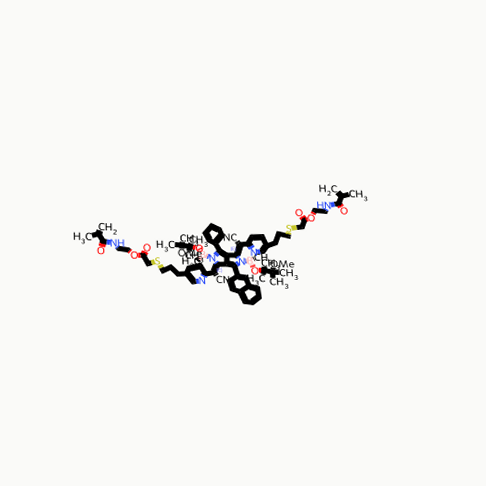 C=C(C)C(=O)NCCOC(=O)CSCCCc1ccc(/C(C#N)=c2/c3c(-c4ccc5ccccc5c4)n(B(C)OC(C)(C)C(C)(C)OC)/c(=C(/C#N)c4ccc(CCCSCC(=O)OCCNC(=O)C(=C)C)cn4)c3c(-c3ccccc3)n2B(C)OC(C)(C)C(C)(C)OC)nc1